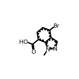 Cn1ncc2c(Br)ccc(C(=O)O)c21